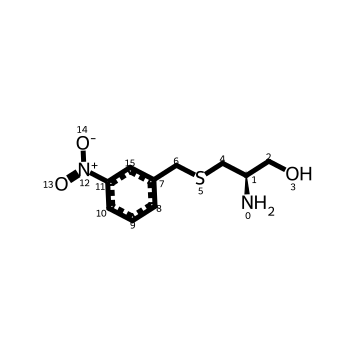 N[C@H](CO)CSCc1cccc([N+](=O)[O-])c1